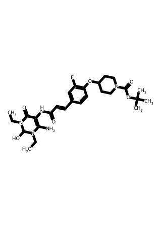 CCN1C(=O)C(NC(=O)/C=C/c2ccc(OC3CCN(C(=O)OC(C)(C)C)CC3)c(F)c2)=C(N)N(CC)C1O